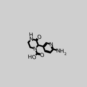 Nc1ccc(C2C(=O)NCCN2C(=O)O)cn1